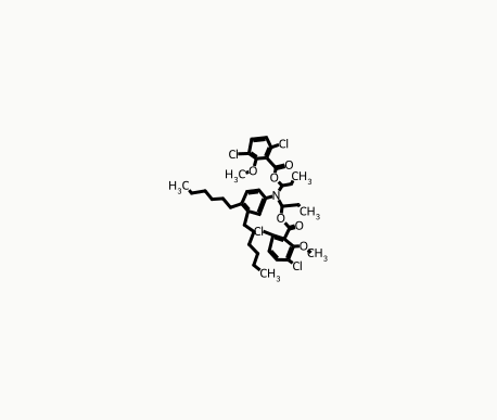 CCCCCCc1ccc(N(C(CC)OC(=O)c2c(Cl)ccc(Cl)c2OC)C(CC)OC(=O)c2c(Cl)ccc(Cl)c2OC)cc1CCCCCC